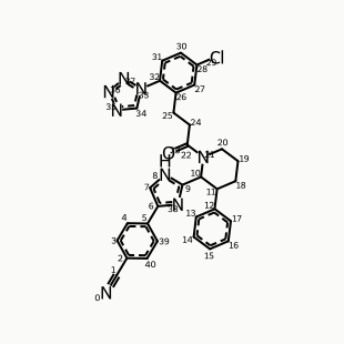 N#Cc1ccc(-c2c[nH]c(C3C(c4ccccc4)CCCN3C(=O)CCc3cc(Cl)ccc3-n3cnnn3)n2)cc1